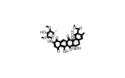 COC(=O)c1c(C)cc2c(c1O)[C@@]1(O)C(=O)c3cc4c(c(O)c3C(=O)[C@@]1(OC)C(O)C2)C(=O)C=C(N[C@H]1O[C@@H](C)C(OC)[C@@H](O)[C@H]1OC)C4=O